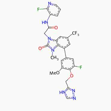 COc1cc(-c2cc(C(F)(F)F)cc3c2n(C)c(=O)n3CC(=O)Nc2cccnc2F)cc(F)c1OCc1nnc[nH]1